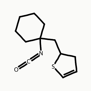 O=C=NC1(CC2CC=CS2)CCCCC1